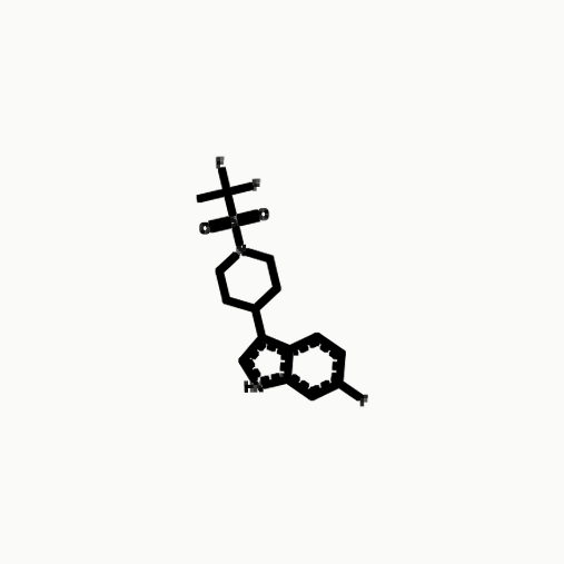 CC(F)(F)S(=O)(=O)N1CCC(c2c[nH]c3cc(F)ccc23)CC1